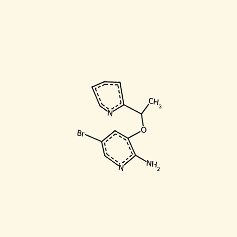 CC(Oc1cc(Br)cnc1N)c1ccccn1